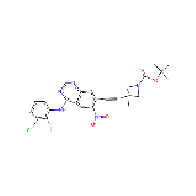 CC1(C#Cc2cc3ncnc(Nc4cccc(Cl)c4F)c3cc2[N+](=O)[O-])CN(C(=O)OC(C)(C)C)C1